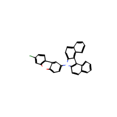 Clc1ccc2c(c1)oc1ccc(-n3c4ccc5ccccc5c4c4c5ccccc5ccc43)cc12